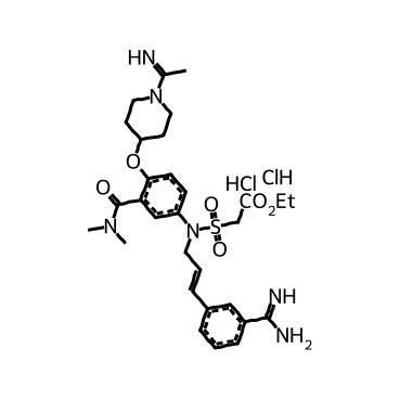 CCOC(=O)CS(=O)(=O)N(C/C=C/c1cccc(C(=N)N)c1)c1ccc(OC2CCN(C(C)=N)CC2)c(C(=O)N(C)C)c1.Cl.Cl